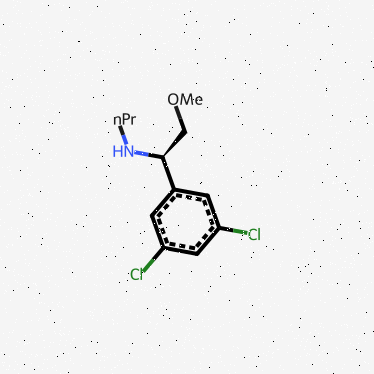 CCCN[C@@H](COC)c1cc(Cl)cc(Cl)c1